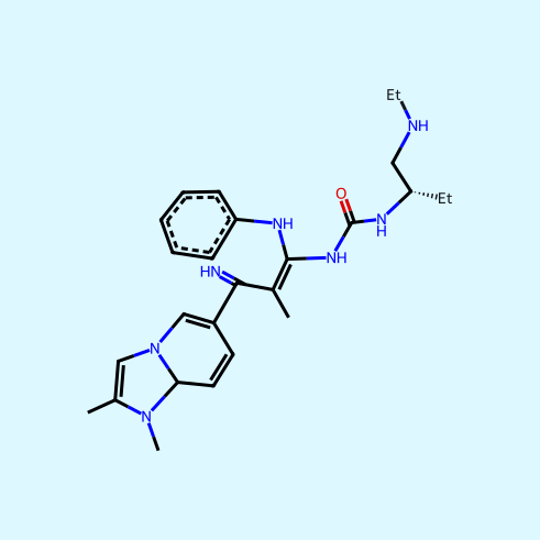 CCNC[C@H](CC)NC(=O)N/C(Nc1ccccc1)=C(\C)C(=N)C1=CN2C=C(C)N(C)C2C=C1